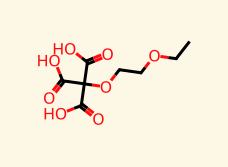 CCOCCOC(C(=O)O)(C(=O)O)C(=O)O